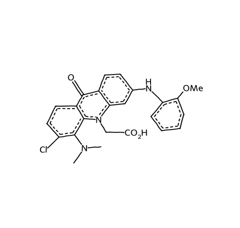 COc1ccccc1Nc1ccc2c(=O)c3ccc(Cl)c(N(C)C)c3n(CC(=O)O)c2c1